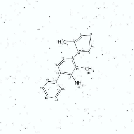 Cc1ccccc1-c1ccc(-c2ccccc2)c(N)c1C